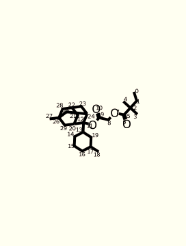 CCC(C)(C)C(=O)OCC(=O)OC1(C2CCCC(C)C2)C2CC3CC1CC(C)(C3)C2